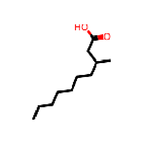 CCCCCCCC(C)CC(=O)O